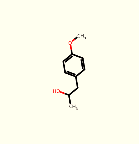 COc1ccc(C[C](C)O)cc1